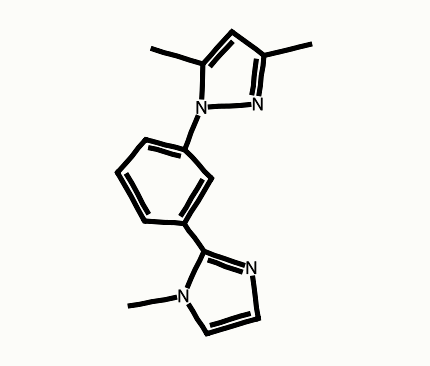 Cc1cc(C)n(-c2cccc(-c3nccn3C)c2)n1